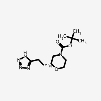 CC(C)(C)OC(=O)N1CCO[C@H](CCc2nnn[nH]2)C1